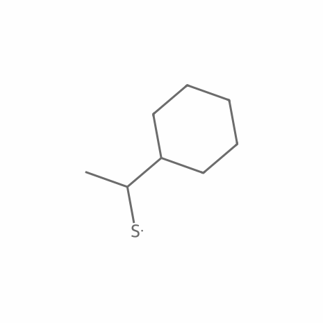 CC([S])C1CCCCC1